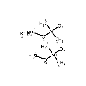 C[Si](C)([O-])O[SiH3].C[Si](C)([O-])O[SiH3].[K+].[K+]